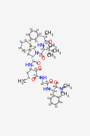 CCCC(NC(=O)[C@@H]1CC2(CN1C(=O)[C@@H](NC(=O)[C@@H](C)c1ccccc1)C(C)(C)C)SCCCS2)C(=O)C(=O)NCC(=O)NC(C(=O)N(C)C)c1ccccc1